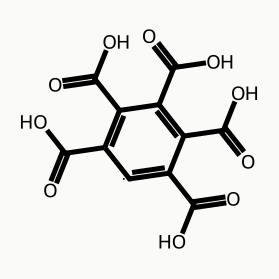 O=C(O)c1[c]c(C(=O)O)c(C(=O)O)c(C(=O)O)c1C(=O)O